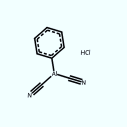 Cl.N#[C][Al]([C]#N)[c]1ccccc1